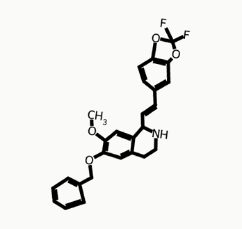 COc1cc2c(cc1OCc1ccccc1)CCNC2/C=C/c1ccc2c(c1)OC(F)(F)O2